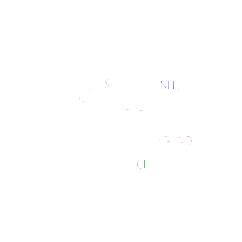 Cc1ccc(C(N)C(=O)Cl)s1